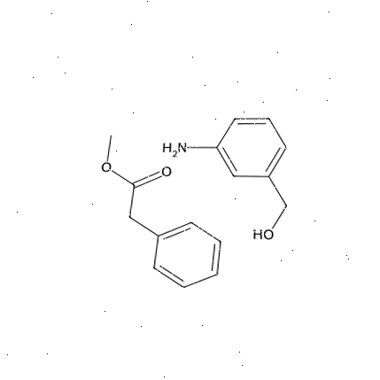 COC(=O)Cc1ccccc1.Nc1cccc(CO)c1